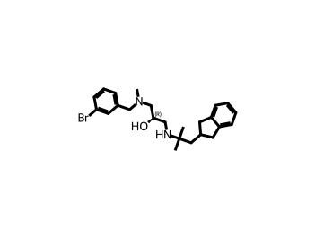 CN(Cc1cccc(Br)c1)C[C@H](O)CNC(C)(C)CC1Cc2ccccc2C1